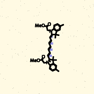 COC(=O)CN1/C(=C/C=C/C=C/C=C/C2=[N+](CC(=O)OC)c3ccc(C)cc3C2(C)C)C(C)(C)c2cc(C)ccc21